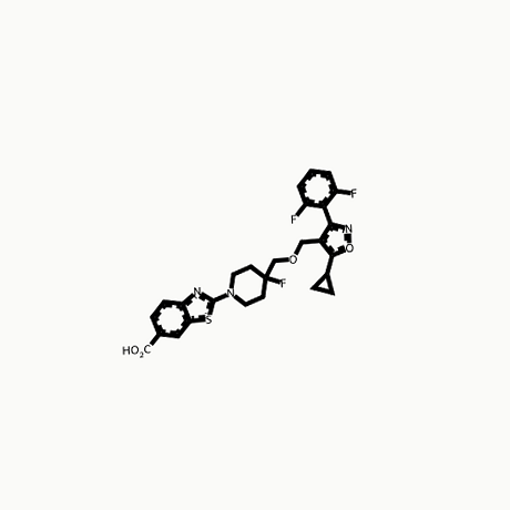 O=C(O)c1ccc2nc(N3CCC(F)(COCc4c(-c5c(F)cccc5F)noc4C4CC4)CC3)sc2c1